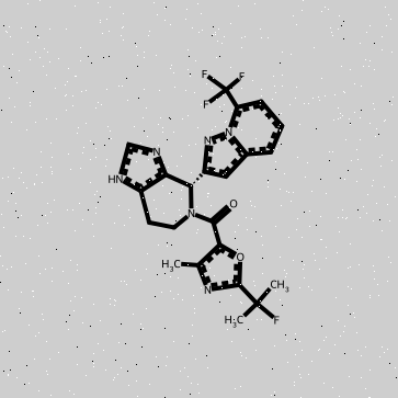 Cc1nc(C(C)(C)F)oc1C(=O)N1CCc2[nH]cnc2[C@@H]1c1cc2cccc(C(F)(F)F)n2n1